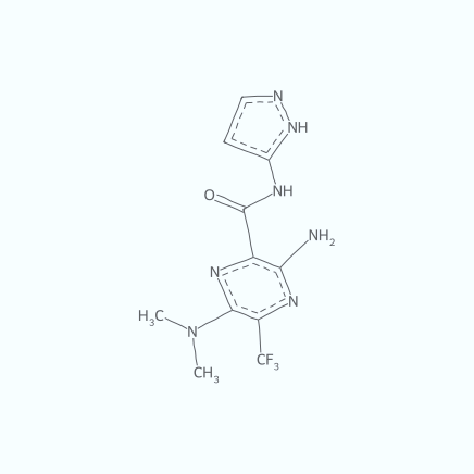 CN(C)c1nc(C(=O)Nc2ccn[nH]2)c(N)nc1C(F)(F)F